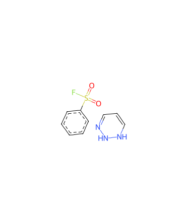 C1=CNNN=C1.O=S(=O)(F)c1ccccc1